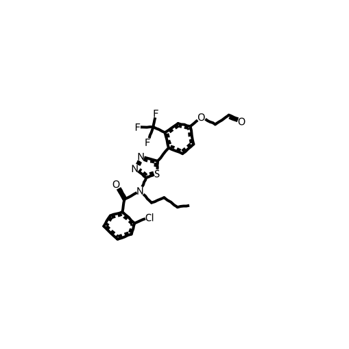 CCCCN(C(=O)c1ccccc1Cl)c1nnc(-c2ccc(OCC=O)cc2C(F)(F)F)s1